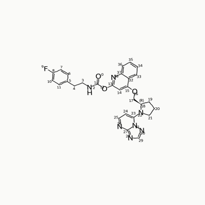 O=C(NCCc1ccc(F)cc1)Oc1cc(OC[C@H]2CCCN2c2ccnc3ncnn23)c2ccccc2n1